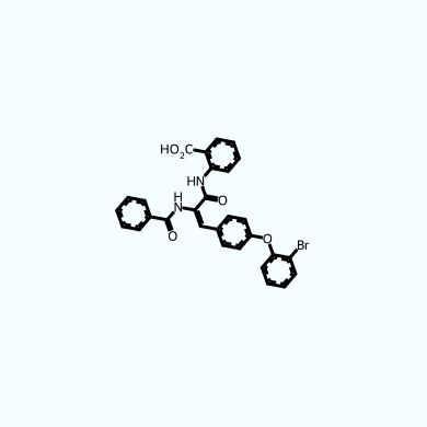 O=C(Nc1ccccc1C(=O)O)/C(=C\c1ccc(Oc2ccccc2Br)cc1)NC(=O)c1ccccc1